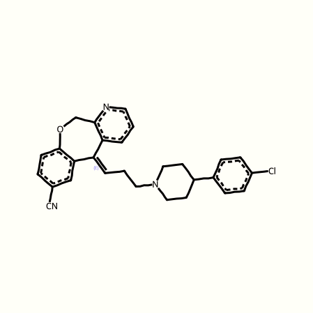 N#Cc1ccc2c(c1)/C(=C/CCN1CCC(c3ccc(Cl)cc3)CC1)c1cccnc1CO2